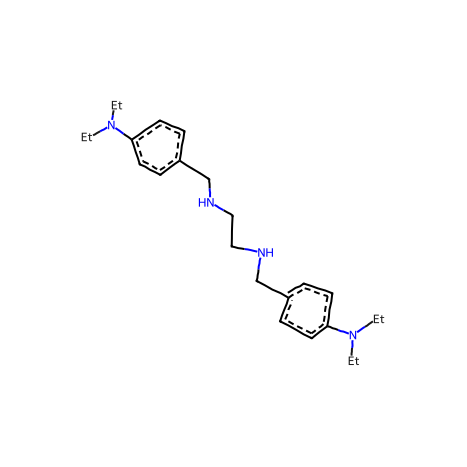 CCN(CC)c1ccc(CNCCNCc2ccc(N(CC)CC)cc2)cc1